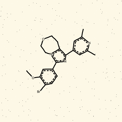 COc1cc(-c2nc(-c3cc(C)nc(C)c3)c3n2CCOCC3)ccc1Br